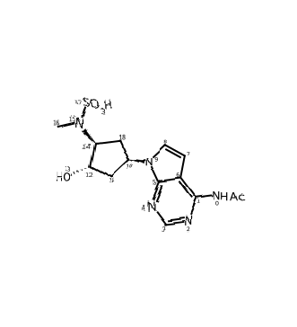 CC(=O)Nc1ncnc2c1ccn2[C@H]1C[C@H](O)[C@@H](N(C)S(=O)(=O)O)C1